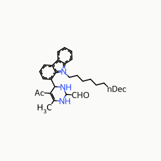 CCCCCCCCCCCCCCCCn1c2ccccc2c2cccc(C3NC(C=O)NC(C)=C3C(C)=O)c21